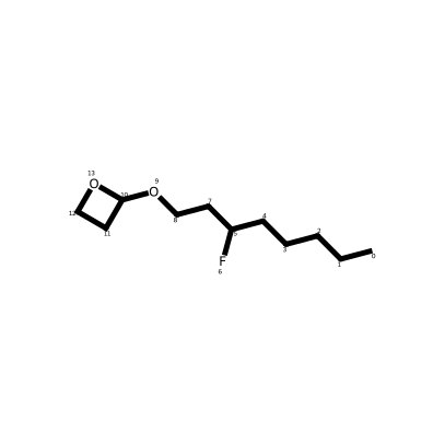 CCCCCC(F)CCOC1CCO1